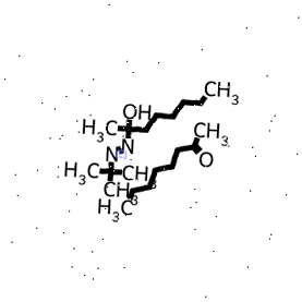 CCCCCCC(C)(O)/N=N/C(C)(C)C.CCCCCCC(C)=O